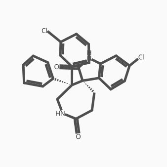 O=C1CC[C@@]2(C(=O)Nc3cc(Cl)ccc32)[C@](c2ccccc2)(c2cccc(Cl)c2)CN1